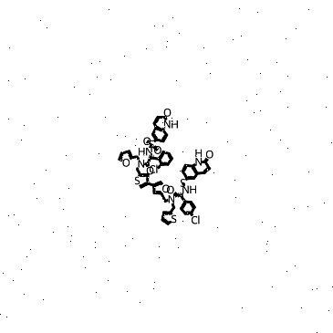 O=C([C@@H](NSc1ccc2[nH]c(=O)ccc2c1)c1ccc(Cl)cc1)N(Cc1cc(-c2csc(CN(Cc3ccco3)C(=O)[C@H](NS(=O)(=O)c3ccc4[nH]c(=O)ccc4c3)c3ccccc3Cl)c2)co1)Cc1cccs1